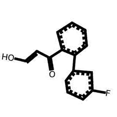 O=C(C=CO)c1ccccc1-c1cccc(F)c1